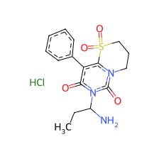 CCC(N)n1c(=O)c(-c2ccccc2)c2n(c1=O)CCCS2(=O)=O.Cl